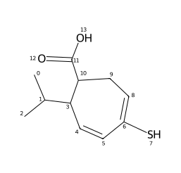 CC(C)C1C=CC(S)=CCC1C(=O)O